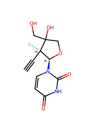 C#C[C@]1(F)[C@H](n2ccc(=O)[nH]c2=O)OCC1(O)CO